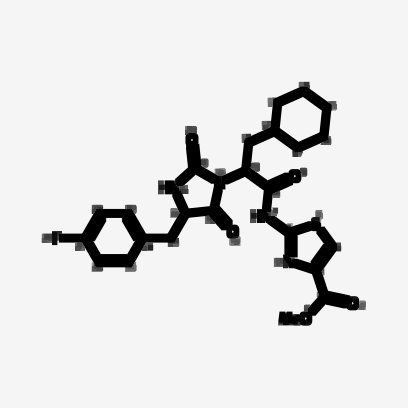 COC(=O)c1csc(NC(=O)C(CC2CCCCC2)N2C(=O)NC(Cc3ccc(F)cc3)C2=O)n1